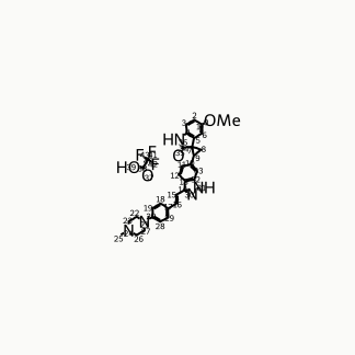 COc1ccc2c(c1)C1(CC1c1ccc3c(/C=C/c4ccc(N5CCN(C)CC5)cc4)n[nH]c3c1)C(=O)N2.O=C(O)C(F)(F)F